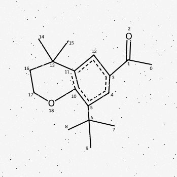 CC(=O)c1cc(C(C)(C)C)c2c(c1)C(C)(C)CCO2